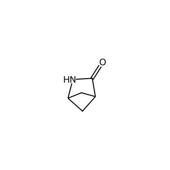 O=C1NC2CC1C2